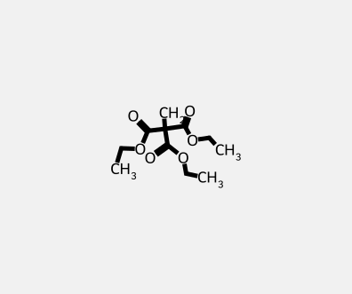 [CH2]C(C(=O)OCC)(C(=O)OCC)C(=O)OCC